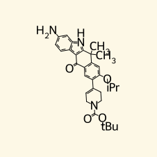 CC(C)Oc1cc2c(cc1C1=CCN(C(=O)OC(C)(C)C)CC1)C(=O)c1c([nH]c3cc(N)ccc13)C2(C)C